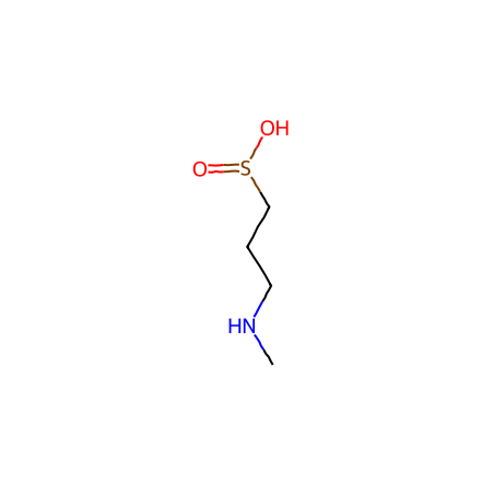 CNCCCS(=O)O